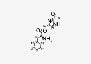 CC(=O)c1nc(COC(=O)[C@@H](N)Cc2ccccc2)c[nH]1